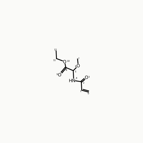 C=CC(=O)NC(OC)C(=O)OCC